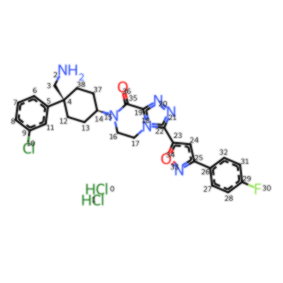 Cl.Cl.NC[C@]1(c2cccc(Cl)c2)CC[C@H](N2CCn3c(nnc3-c3cc(-c4ccc(F)cc4)no3)C2=O)CC1